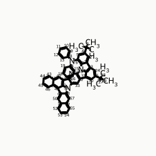 CC(C)(C)c1cc(N(c2ccccc2)c2ccccc2)c2c(c1)c1cc(C(C)(C)C)cc3c4cc5c(nc4n2c31)c1cc2ccccc2c2c3cc4ccccc4cc3n5c12